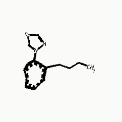 CCCCc1ccccc1N1COC=N1